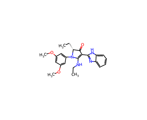 CCNC1=C(c2nc3ccccc3[nH]2)C(=O)[C@@H](CC)N1c1cc(OC)cc(OC)c1